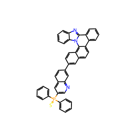 S=P(c1ccccc1)(c1ccccc1)c1cnc2cc(-c3ccc4c(ccc5c6ccccc6c6nc7ccccc7n6c45)c3)ccc2c1